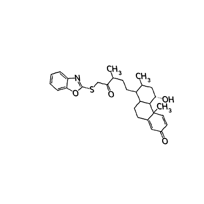 CC(CCC1C(C)C[C@H](O)C2C1CCC1=CC(=O)C=CC12C)C(=O)CSc1nc2ccccc2o1